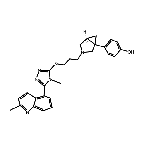 Cc1ccc2c(-c3nnc(SCCCN4C[C@H]5CC5(c5ccc(O)cc5)C4)n3C)cccc2n1